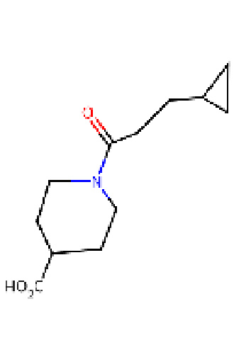 O=C(O)C1CCN(C(=O)CCC2CC2)CC1